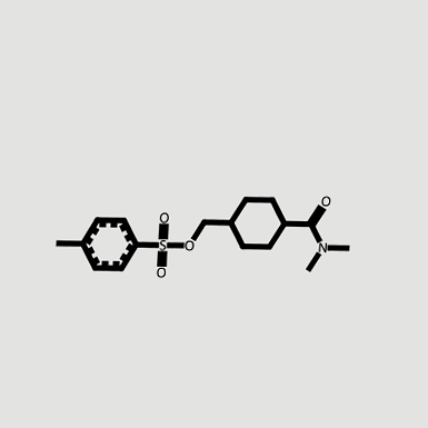 Cc1ccc(S(=O)(=O)OCC2CCC(C(=O)N(C)C)CC2)cc1